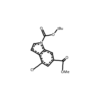 COC(=O)c1cc(Cl)c2ccn(C(=O)OC(C)(C)C)c2c1